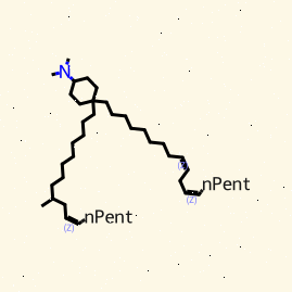 CCCCC/C=C\C/C=C\CCCCCCCCC1(CCCCCCCCC(C)C/C=C\CCCCC)CCC(N(C)C)CC1